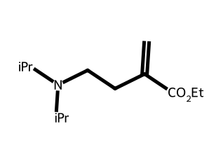 C=C(CCN(C(C)C)C(C)C)C(=O)OCC